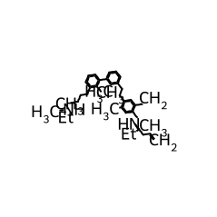 C=CCC(C)(CC)NCc1cc(C)c(CCc2cccc(-c3cccc(CCCCNC(C)(C)CC)c3C)c2C)cc1C=C